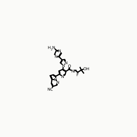 CC(C)(O)C(F)CNC(=O)c1cnc(-c2ccc3cc(C#N)cnn23)cc1-n1cc(-c2cnc(N)cn2)cn1